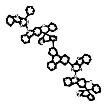 c1ccc(-c2nc(-n3c4ccccc4c4cc5c(cc43)Oc3ccccc3C53c4ccccc4-c4c(-c5ccc6c7ccccc7c7cc(-c8nc(-n9c%10ccccc%10c%10cc%11c(cc%109)Oc9ccccc9C%119c%10ccccc%10-c%10ccccc%109)nc9c8sc8ccccc89)ccc7c6c5)cccc43)nc3c2sc2ccccc23)cc1